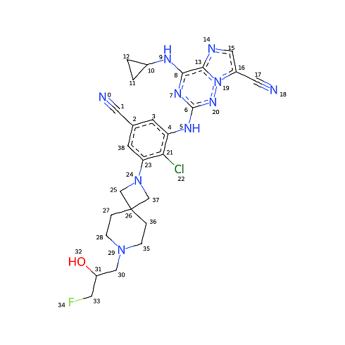 N#Cc1cc(Nc2nc(NC3CC3)c3ncc(C#N)n3n2)c(Cl)c(N2CC3(CCN(CC(O)CF)CC3)C2)c1